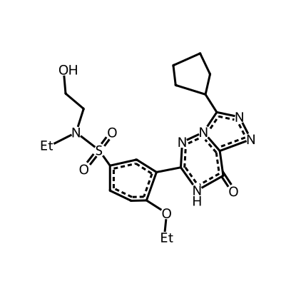 CCOc1ccc(S(=O)(=O)N(CC)CCO)cc1-c1nn2c(C3CCCC3)nnc2c(=O)[nH]1